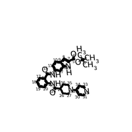 CC(C)(C)OC(=O)c1cc2ccc(NC(=O)c3ccccc3NC(=O)C3CCN(c4ccncc4)CC3)cc2[nH]1